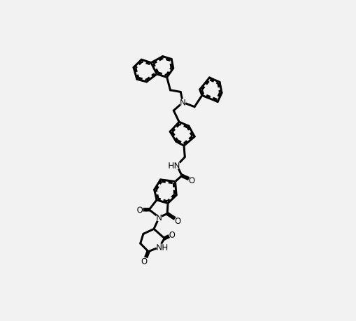 O=C1CCC(N2C(=O)c3ccc(C(=O)NCc4ccc(CN(CCc5cccc6ccccc56)Cc5ccccc5)cc4)cc3C2=O)C(=O)N1